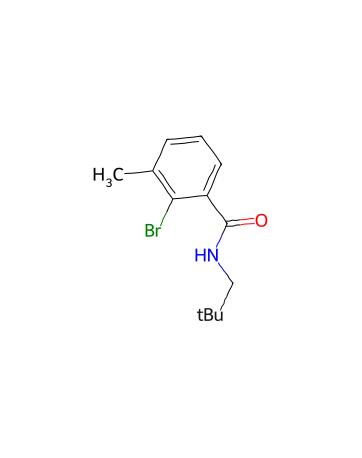 Cc1cccc(C(=O)NCC(C)(C)C)c1Br